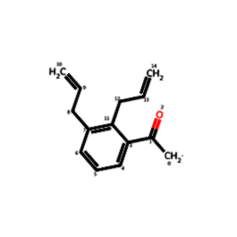 [CH2]C(=O)c1cccc(CC=C)c1CC=C